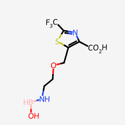 O=C(O)c1nc(C(F)(F)F)sc1COCCNBO